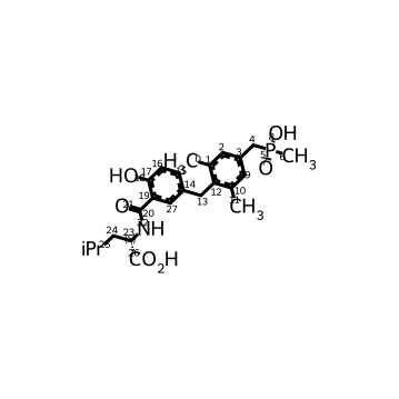 Cc1cc(CP(C)(=O)O)cc(C)c1Cc1ccc(O)c(C(=O)N[C@@H](CC(C)C)C(=O)O)c1